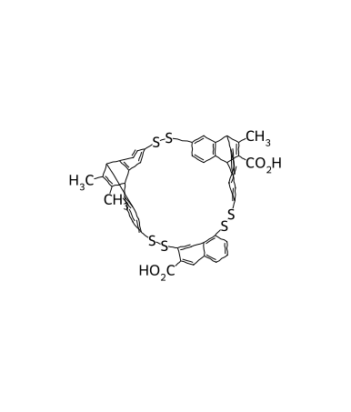 CC1=C(C)C2c3ccc4cc3C1c1ccc(cc12)SSc1cc2c(cccc2cc1C(=O)O)SSc1ccc2c(c1)C1C(C(=O)O)=C(C)C2c2cc(ccc21)SS4